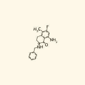 Cc1c(F)cc(N)c2c1CC[C@H](NCc1ccccc1)C2=O